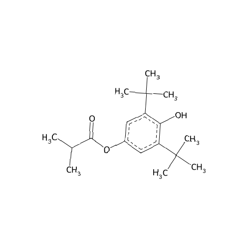 CC(C)C(=O)Oc1cc(C(C)(C)C)c(O)c(C(C)(C)C)c1